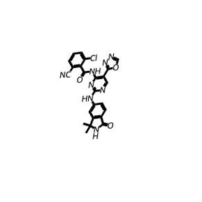 CC1(C)NC(=O)c2ccc(Nc3ncc(-c4nnco4)c(NC(=O)c4c(Cl)cccc4C#N)n3)cc21